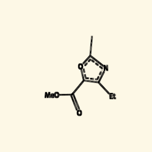 CCc1nc(C)oc1C(=O)OC